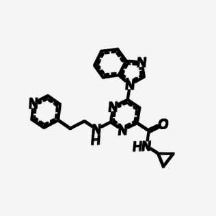 O=C(NC1CC1)c1cc(-n2cnc3ccccc32)nc(NCCc2ccncc2)n1